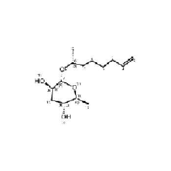 C=CCCCC[C@@H](C)O[C@@H]1O[C@@H](C)[C@H](O)C[C@H]1O